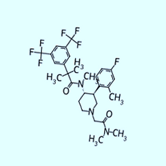 Cc1cc(F)ccc1[C@H]1CN(CC(=O)N(C)C)CC[C@@H]1N(C)C(=O)C(C)(C)c1cc(C(F)(F)F)cc(C(F)(F)F)c1